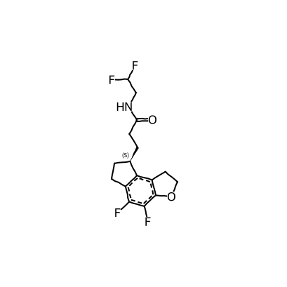 O=C(CC[C@@H]1CCc2c(F)c(F)c3c(c21)CCO3)NCC(F)F